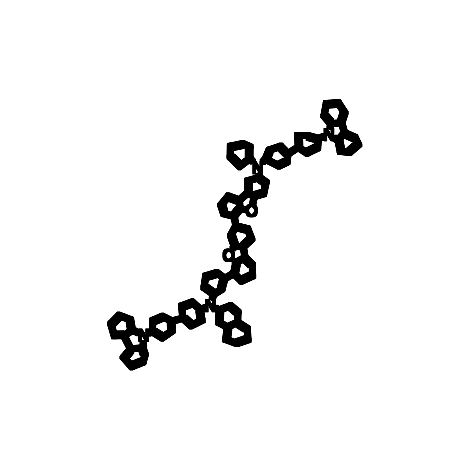 c1ccc(N(c2ccc(-c3ccc(-n4c5ccccc5c5ccccc54)cc3)cc2)c2ccc3oc4c(-c5ccc6c(c5)oc5c(-c7cccc(N(c8ccc(-c9ccc(-n%10c%11ccccc%11c%11ccccc%11%10)cc9)cc8)c8ccc9ccccc9c8)c7)cccc56)cccc4c3c2)cc1